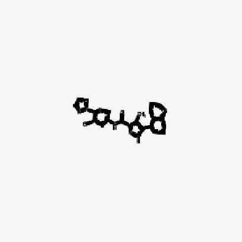 Cc1c(C(=O)Nc2cnc(-n3nccn3)c(Cl)c2)n[nH]c1-c1cccc2ncccc12